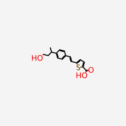 CC(CCO)c1ccc(/C=C/c2ccc(C(=O)O)s2)cc1